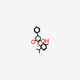 Cc1ccc(C(C)C)c(SC2=C(O)CC(c3ccccc3)CC2=O)c1